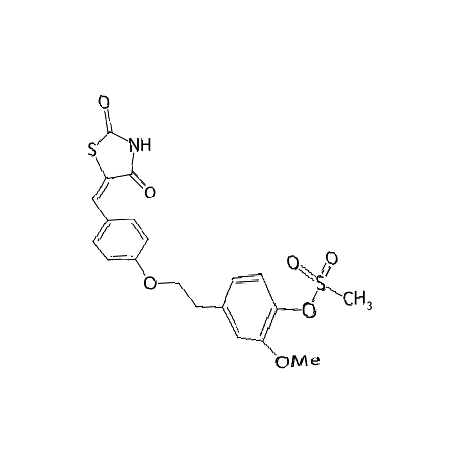 COc1cc(CCOc2ccc(C=C3SC(=O)NC3=O)cc2)ccc1OS(C)(=O)=O